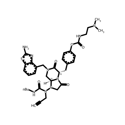 C#CCN(C(=O)NCCCC)N1CC(=O)N2[C@@H](Cc3ccc(OC(=O)NCCN(C)C)cc3)C(=O)N(Cc3cccc4sc(N)nc34)C[C@@H]21